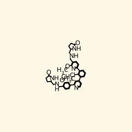 COc1cc(-c2nccc(-c3cccc(-c4ccc(CNCC5CCC(=O)N5)c(OC)n4)c3Cl)c2C)ccc1CNCC1CCC(=O)N1